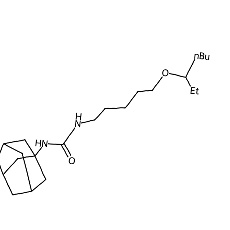 CCCCC(CC)OCCCCCNC(=O)NC12CC3CC(CC(C3)C1)C2